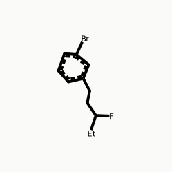 CCC(F)CCc1cccc(Br)c1